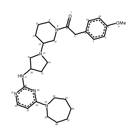 COc1ccc(CC(=O)N2CCCC(N3CCC(Nc4nccc(N5CCCCCC5)n4)C3)C2)cc1